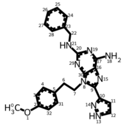 COc1ccc(CCn2c(-c3cc[nH]n3)nc3c(N)nc(NCc4ccccc4)nc32)cc1